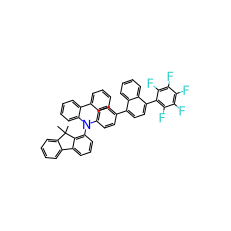 CC1(C)c2ccccc2-c2cccc(N(c3ccc(-c4ccc(-c5c(F)c(F)c(F)c(F)c5F)c5ccccc45)cc3)c3ccccc3-c3ccccc3)c21